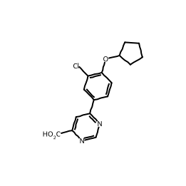 O=C(O)c1cc(-c2ccc(OC3CCCC3)c(Cl)c2)ncn1